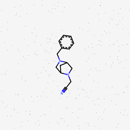 N#CCN1CC2CC1CN2Cc1ccccc1